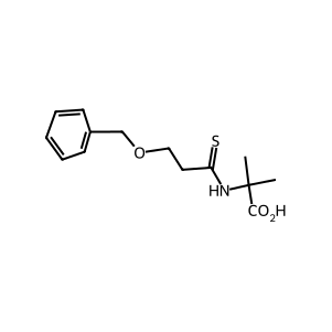 CC(C)(NC(=S)CCOCc1ccccc1)C(=O)O